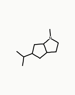 CC(C)C1CC2CCN(C)C2C1